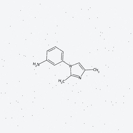 Cc1cn(-c2cccc(N)c2)c(C)n1